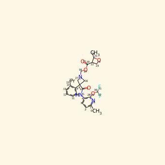 Cc1ccc(NC(=O)C2(c3ccccc3C(C)C)CN(COC(=O)C3COC3C)C2)c(OC(F)F)n1